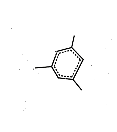 [CH2]c1[c]c(C)cc(C)c1